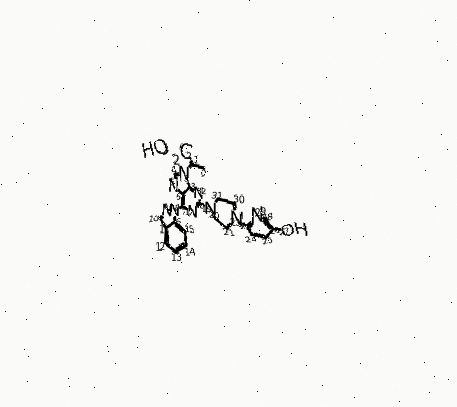 CC(C(=O)O)n1cnc2c(-n3ncc4ccccc43)nc(N3CCN(c4ccc(O)cn4)CC3)nc21